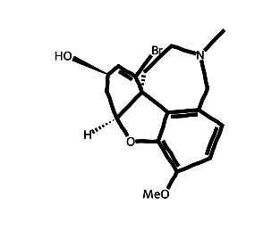 COc1ccc2c3c1O[C@H]1C[C@@H](O)C=C(Br)[C@@]31CCN(C)C2